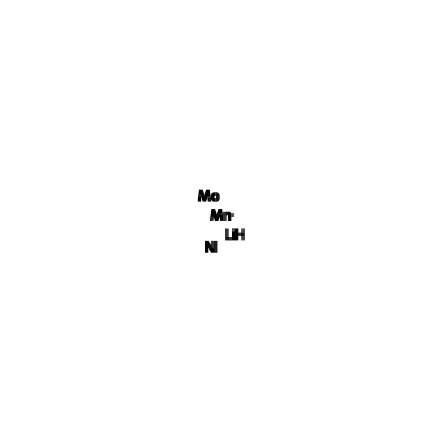 [LiH].[Mn].[Mo].[Ni]